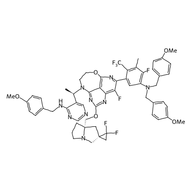 COc1ccc(CNc2ncncc2[C@@H](C)N2CCOc3nc(-c4cc(N(Cc5ccc(OC)cc5)Cc5ccc(OC)cc5)c(F)c(C)c4C(F)(F)F)c(F)c4nc(OC[C@@]56CCCN5C[C@]5(CC5(F)F)C6)nc2c34)cc1